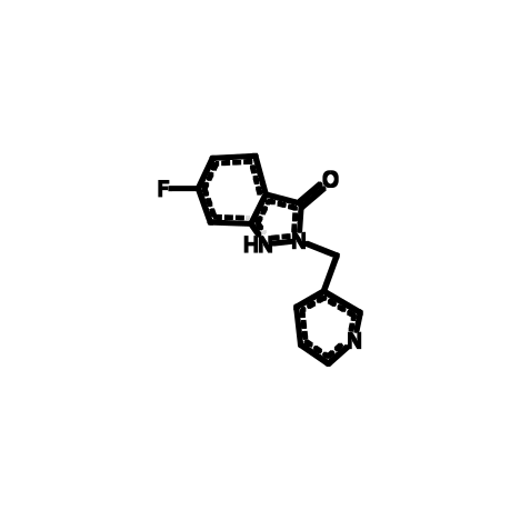 O=c1c2ccc(F)cc2[nH]n1Cc1cccnc1